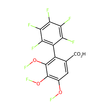 O=C(O)c1cc(OF)c(OF)c(OF)c1-c1c(F)c(F)c(F)c(F)c1F